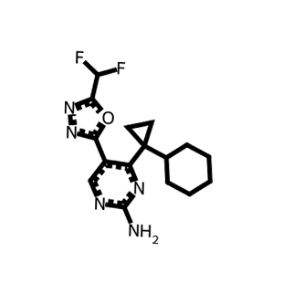 Nc1ncc(-c2nnc(C(F)F)o2)c(C2(C3CCCCC3)CC2)n1